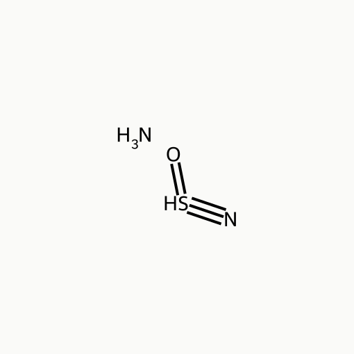 N.N#[SH]=O